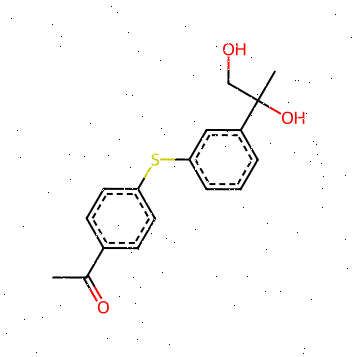 CC(=O)c1ccc(Sc2cccc(C(C)(O)CO)c2)cc1